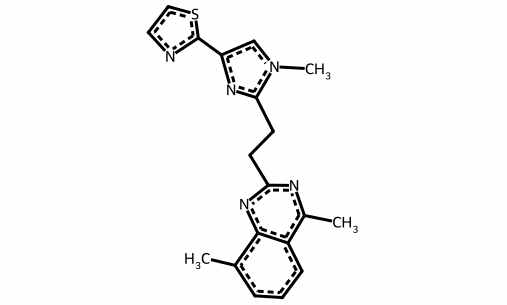 Cc1nc(CCc2nc(-c3nccs3)cn2C)nc2c(C)cccc12